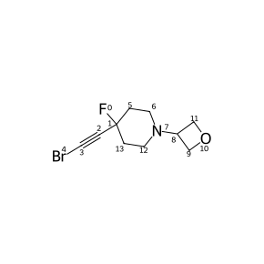 FC1(C#CBr)CCN(C2COC2)CC1